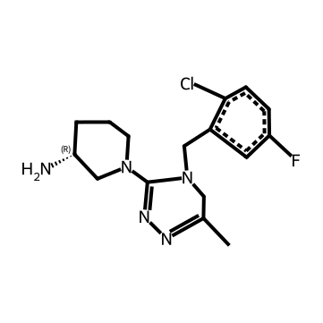 CC1=NN=C(N2CCC[C@@H](N)C2)N(Cc2cc(F)ccc2Cl)C1